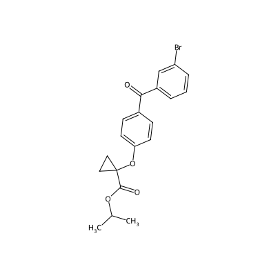 CC(C)OC(=O)C1(Oc2ccc(C(=O)c3cccc(Br)c3)cc2)CC1